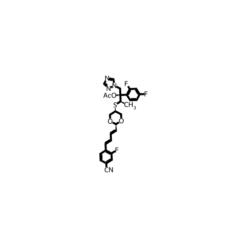 CC(=O)O[C@@](Cn1cncn1)(c1ccc(F)cc1F)[C@@H](C)S[C@H]1CO[C@H](C=CC=Cc2ccc(C#N)cc2F)OC1